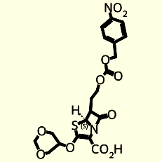 O=C(OCCC1C(=O)N2C(C(=O)O)=C(OC3COCOC3)S[C@@H]12)OCc1ccc([N+](=O)[O-])cc1